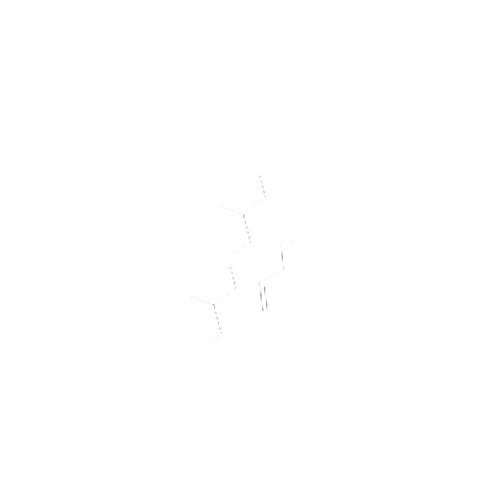 C=CCCCCCCCCC.OCC(O)COCC(O)CO